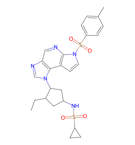 CCC1CC(NS(=O)(=O)C2CC2)CC1n1cnc2cnc3c(ccn3S(=O)(=O)c3ccc(C)cc3)c21